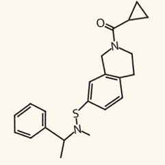 CC(c1ccccc1)N(C)Sc1ccc2c(c1)CN(C(=O)C1CC1)CC2